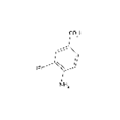 CC(C)c1cc(C(=O)O)ccc1N